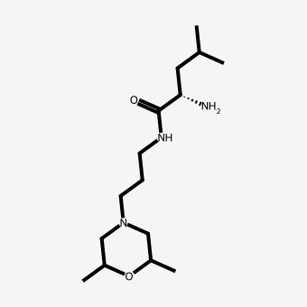 CC(C)C[C@H](N)C(=O)NCCCN1CC(C)OC(C)C1